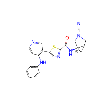 N#CN1CC2C[C@]2(NC(=O)c2ncc(-c3cnccc3Nc3ccccc3)s2)C1